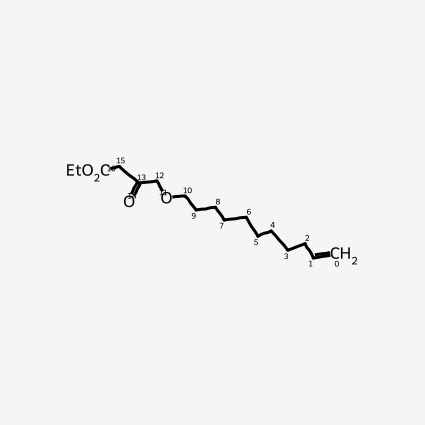 C=CCCCCCCCCCOCC(=O)CC(=O)OCC